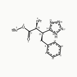 CCC[C@H](C(=O)OC(C)(C)C)[C@H](Cc1ccccc1)c1nnn[nH]1